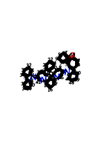 CC1C2C=Cc3c(n(-c4ccc([Si](c5ccccc5)(c5ccccc5)c5ccc(-n6c7ccccc7c7ccccc76)cn5)nc4)c4ccccc34)C1c1ccccc1O2